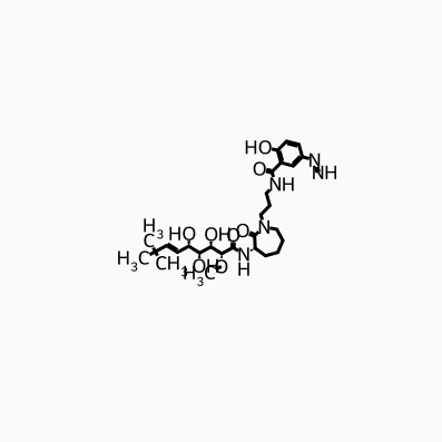 CO[C@@H](C(=O)N[C@H]1CCCCN(CCCNC(=O)c2cc(N=N)ccc2O)C1=O)[C@H](O)[C@@H](O)[C@H](O)/C=C/C(C)(C)C